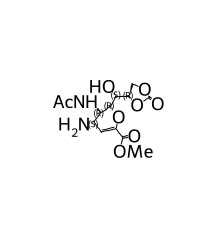 COC(=O)C1=C[C@H](N)[C@@H](NC(C)=O)[C@H]([C@H](O)[C@H]2COC(=O)O2)O1